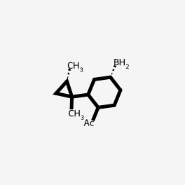 B[C@@H]1CCC(C(C)=O)C(C2(C)C[C@@H]2C)C1